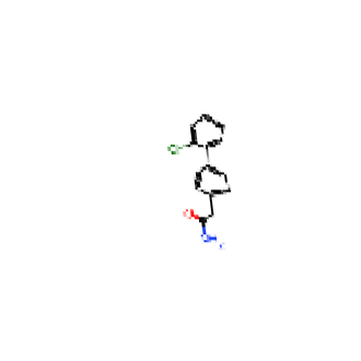 NC(=O)Cc1ccc(-c2ccccc2Cl)cc1